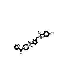 O=C(NCc1ccc(S(=O)(=O)N2CCN(C(=O)c3ccco3)CC2)s1)c1ccc(Cl)cc1